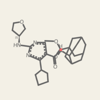 COC(=O)C12CC3CC(C1)C(NC(=O)c1cnc(N[C@H]4CCOC4)nc1C1CCCC1)C(C3)C2